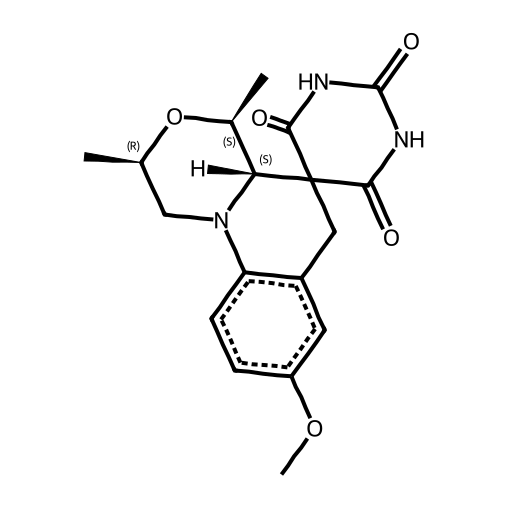 COc1ccc2c(c1)CC1(C(=O)NC(=O)NC1=O)[C@H]1[C@H](C)O[C@H](C)CN21